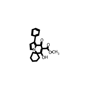 COC(=O)C1=C(O)C2(CCCCC2)n2ccc(-c3ccccc3)c2C1=O